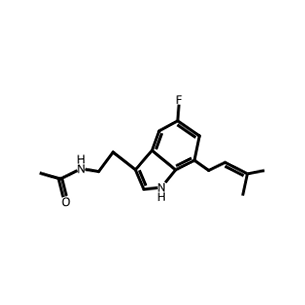 CC(=O)NCCc1c[nH]c2c(CC=C(C)C)cc(F)cc12